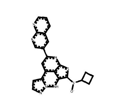 [O-][S+](c1sc2nc(-c3cnc4ncccc4c3)cc3c2c1[nH]n1nccc31)C1CCC1